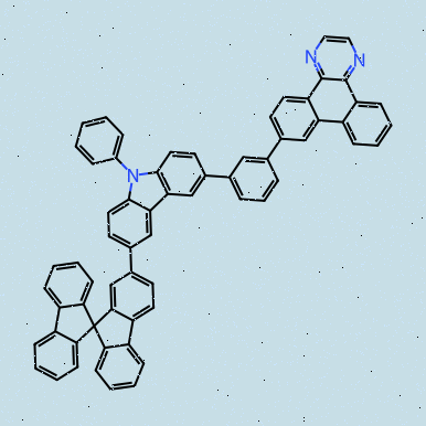 c1ccc(-n2c3ccc(-c4cccc(-c5ccc6c(c5)c5ccccc5c5nccnc65)c4)cc3c3cc(-c4ccc5c(c4)C4(c6ccccc6-c6ccccc64)c4ccccc4-5)ccc32)cc1